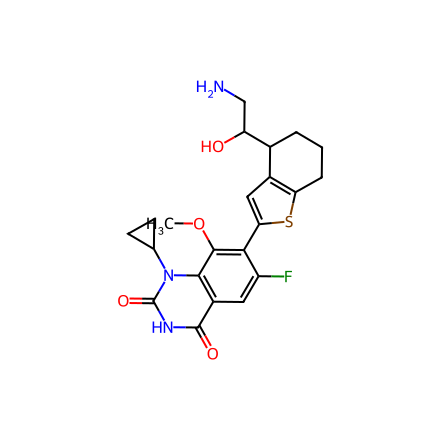 COc1c(-c2cc3c(s2)CCCC3C(O)CN)c(F)cc2c(=O)[nH]c(=O)n(C3CC3)c12